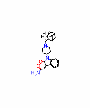 CC1(C)C2CCC(CN3CCC(N4C(=O)/C(=C\C(N)=O)c5ccccc54)CC3)C1C2